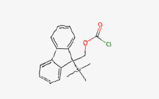 C[Si](C)(C)C1(COC(=O)Cl)c2ccccc2-c2ccccc21